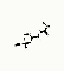 CNC(=O)ON=C(CC(C)(C)C#N)OC